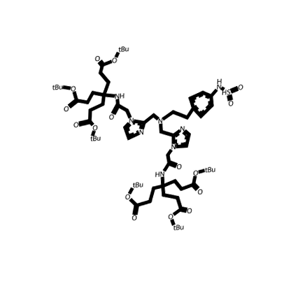 CC(C)(C)OC(=O)CCC(CCC(=O)OC(C)(C)C)(CCC(=O)OC(C)(C)C)NC(=O)Cn1ccnc1CN(CCc1ccc(N[SH](=O)=O)cc1)Cc1nccn1CC(=O)NC(CCC(=O)OC(C)(C)C)(CCC(=O)OC(C)(C)C)CCC(=O)OC(C)(C)C